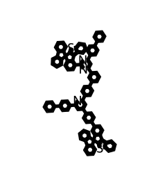 c1ccc(-c2ccc(-c3cc(-c4ccc(-c5ccc6c(c5)C5(c7ccccc7-c7ccccc75)c5sc7ccccc7c5-6)cc4)cc(-c4ccc(-c5cccc(-c6cc(-c7ccc(-c8ccccc8)cc7)nc(-c7cccc8c7-c7c(sc9ccccc79)C87c8ccccc8-c8ccccc87)n6)c5)cc4)n3)cc2)cc1